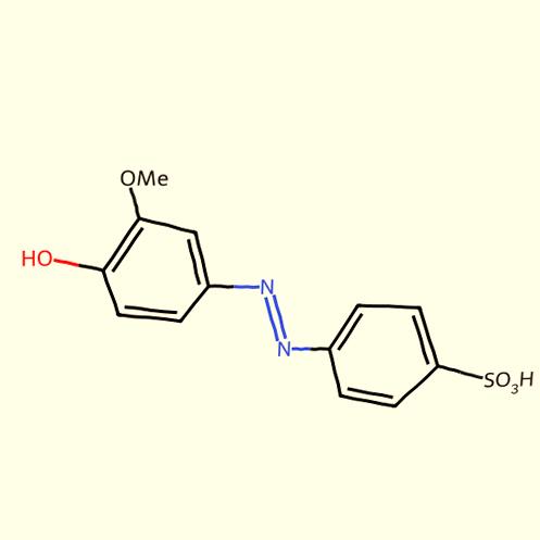 COc1cc(N=Nc2ccc(S(=O)(=O)O)cc2)ccc1O